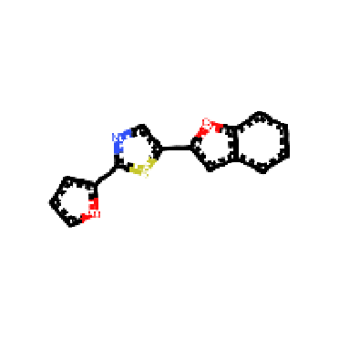 c1coc(-c2ncc(-c3cc4ccccc4o3)s2)c1